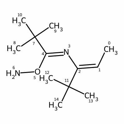 C/C=C(\N=C(/ON)C(C)(C)C)C(C)(C)C